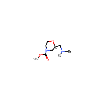 CCN(CC)C[C@H]1CN(C(=O)OC(C)(C)C)CCO1